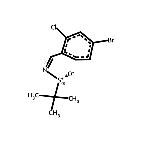 CC(C)(C)[S@@+]([O-])/N=C\c1ccc(Br)cc1Cl